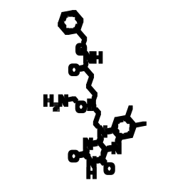 Cc1cc2nc3c(=O)[nH]c(=O)nc-3n(CCB(CCCC(=O)NOCc3ccccc3)OCN)c2cc1C